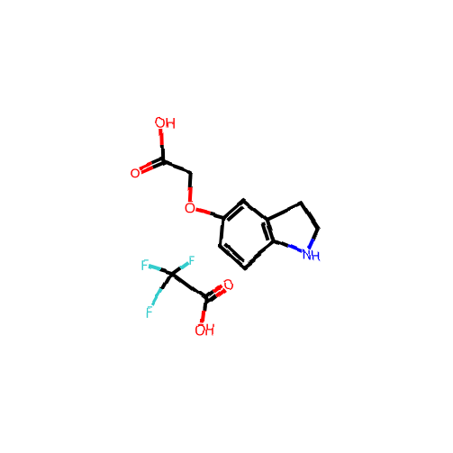 O=C(O)C(F)(F)F.O=C(O)COc1ccc2c(c1)CCN2